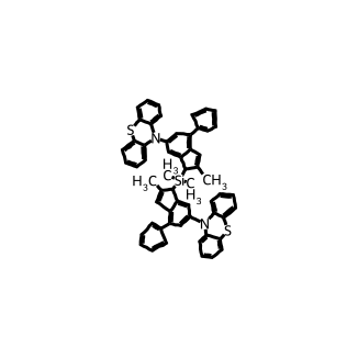 CC1=Cc2c(-c3ccccc3)cc(N3c4ccccc4Sc4ccccc43)cc2C1[Si](C)(C)C1C(C)=Cc2c(-c3ccccc3)cc(N3c4ccccc4Sc4ccccc43)cc21